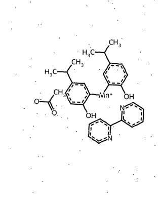 CC(=O)[O-].CC(C)c1ccc(O)[c]([Mn+][c]2cc(C(C)C)ccc2O)c1.c1ccc(-c2ccccn2)nc1